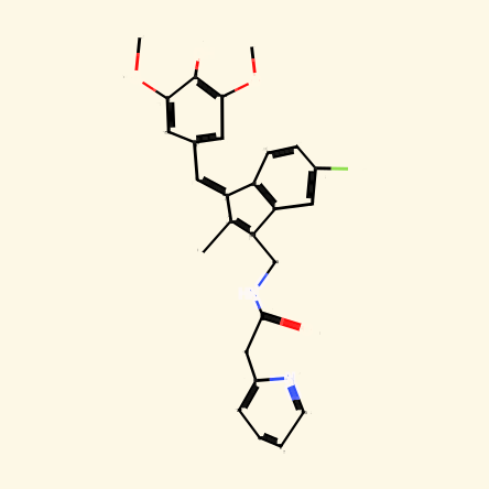 COc1cc(/C=C2/C(C)=C(CNC(=O)Cc3ccccn3)c3cc(F)ccc32)cc(OC)c1O